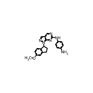 COc1ccc2c(c1)CCC2n1ncc2cnc(Nc3ccc(N)cc3)nc21